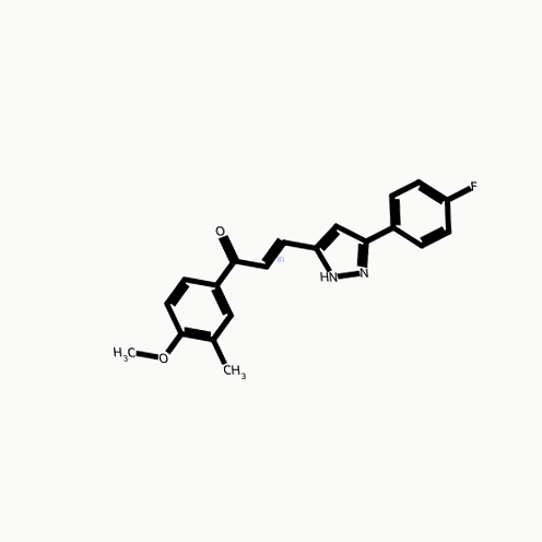 COc1ccc(C(=O)/C=C/c2cc(-c3ccc(F)cc3)n[nH]2)cc1C